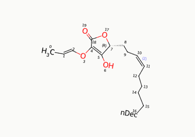 CC=COC1=C(O)[C@@H](CC/C=C\CCCCCCCCCCCCCC)OC1=O